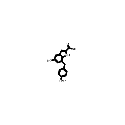 COc1ccc(Cc2cc(C#N)cc3cc(C(N)=O)[nH]c23)cc1